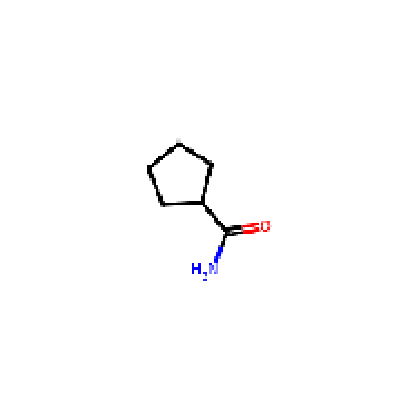 NC(=O)C1C[CH]CC1